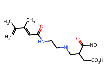 C=C(C)/C(C)=C/C(=O)NCCNCC(CC(=O)O)C(=O)N=O